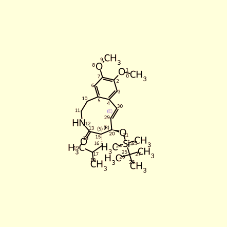 COc1cc2c(cc1OC)CCNC(=O)[C@@H](CC(C)C)[C@H](O[Si](C)(C)C(C)(C)C)/C=C/2